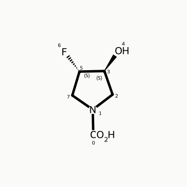 O=C(O)N1C[C@H](O)[C@@H](F)C1